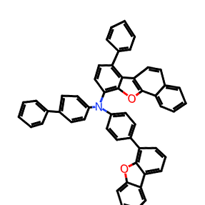 c1ccc(-c2ccc(N(c3ccc(-c4cccc5c4oc4ccccc45)cc3)c3ccc(-c4ccccc4)c4c3oc3c5ccccc5ccc34)cc2)cc1